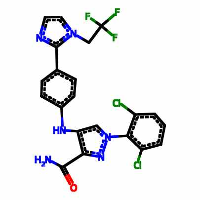 NC(=O)c1nn(-c2c(Cl)cccc2Cl)cc1Nc1ccc(-c2nccn2CC(F)(F)F)cc1